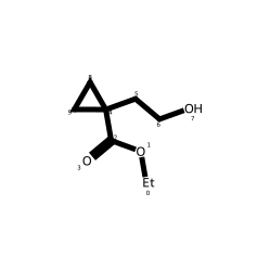 CCOC(=O)C1(CCO)CC1